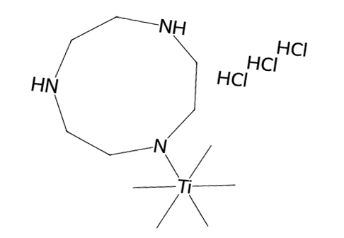 Cl.Cl.Cl.[CH3][Ti]([CH3])([CH3])([CH3])([CH3])[N]1CCNCCNCC1